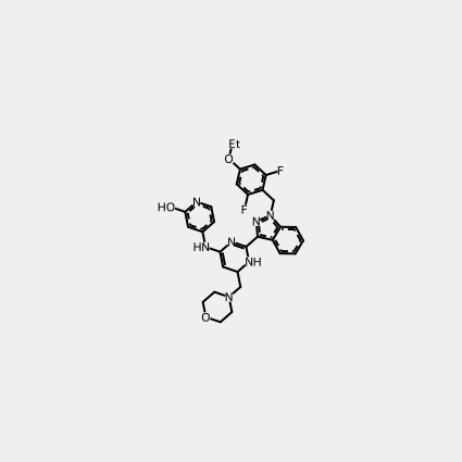 CCOc1cc(F)c(Cn2nc(C3=NC(Nc4ccnc(O)c4)=CC(CN4CCOCC4)N3)c3ccccc32)c(F)c1